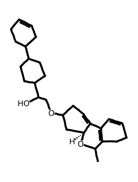 CC1O[C@H]2CC(OCC(O)C3CCC(C4CC=CCC4)CC3)CC=C2C2=C1CCC=C2